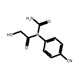 N#Cc1ccc(N(C(N)=O)C(=O)CO)cc1